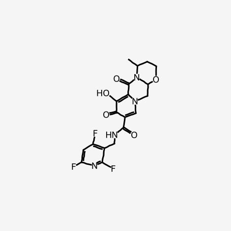 CC1CCOC2Cn3cc(C(=O)NCc4c(F)cc(F)nc4F)c(=O)c(O)c3C(=O)N12